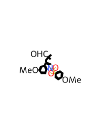 COc1ccc(S(=O)(=O)n2cc(CC(C)(C)C=O)c3cc(OC)ccc32)cc1